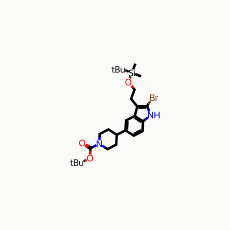 CC(C)(C)OC(=O)N1CCC(c2ccc3[nH]c(Br)c(CCO[Si](C)(C)C(C)(C)C)c3c2)CC1